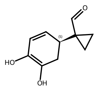 O=CC1([C@@H]2C=CC(O)=C(O)C2)CC1